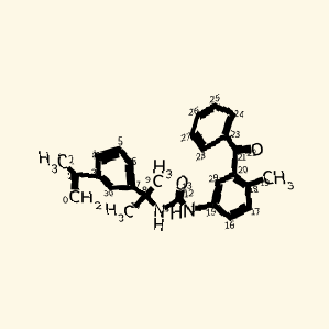 C=C(C)c1cccc(C(C)(C)NC(=O)Nc2ccc(C)c(C(=O)c3ccccc3)c2)c1